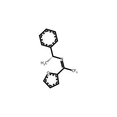 C[C@@H](/N=C(\c1ccco1)C(F)(F)F)c1ccccc1